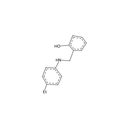 CCc1ccc(NCc2ccccc2O)cc1